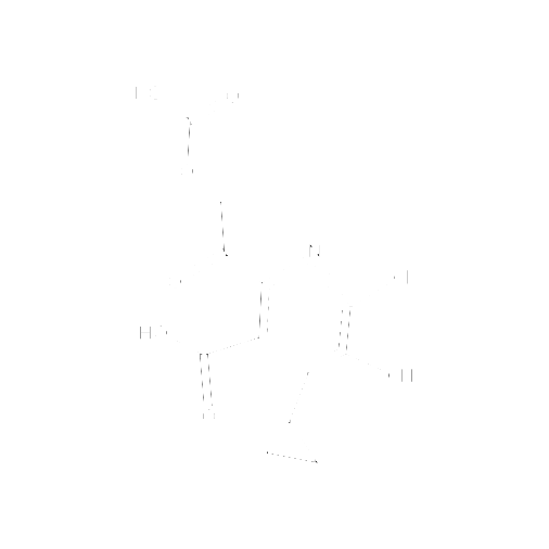 CC(=O)OCC(=O)c1nc(Cl)c(C)c(C2CC2)c1C(=O)O